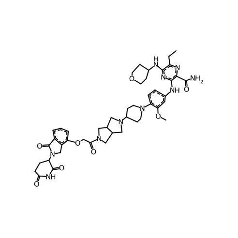 CCc1nc(C(N)=O)c(Nc2ccc(N3CCC(N4CC5CN(C(=O)COc6cccc7c6CN(C6CCC(=O)NC6=O)C7=O)CC5C4)CC3)c(OC)c2)nc1NC1CCOCC1